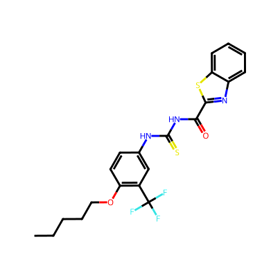 CCCCCOc1ccc(NC(=S)NC(=O)c2nc3ccccc3s2)cc1C(F)(F)F